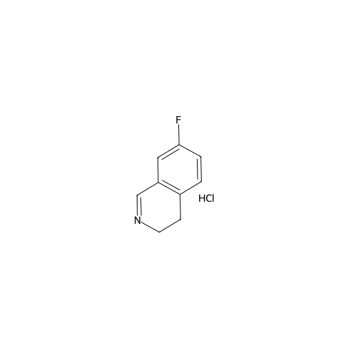 Cl.Fc1ccc2c(c1)C=NCC2